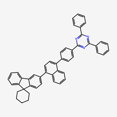 c1ccc(-c2nc(-c3ccccc3)nc(-c3ccc(-c4ccc(-c5ccc6c(c5)-c5ccccc5C65CCCCC5)c5ccccc45)cc3)n2)cc1